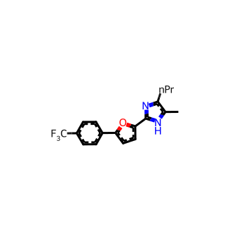 CCCc1nc(-c2ccc(-c3ccc(C(F)(F)F)cc3)o2)[nH]c1C